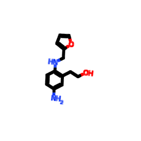 Nc1ccc(NCc2ccco2)c(CCO)c1